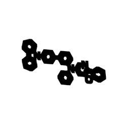 c1ccc(N(c2cccc(-c3ccc(-n4c5ccccc5c5ccccc54)cc3)c2)c2cnc3c(c2)oc2ccccc23)cc1